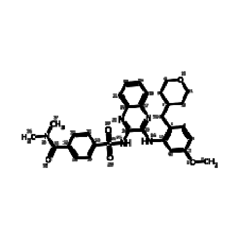 COc1ccc(CC2CCOCC2)c(Nc2nc3ccccc3nc2NS(=O)(=O)c2ccc(C(=O)N(C)C)cc2)c1